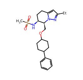 CCc1cc2n(n1)[C@@H](COC1CCC(c3ccccc3)CC1)[C@@H](NS(C)(=O)=O)CC2